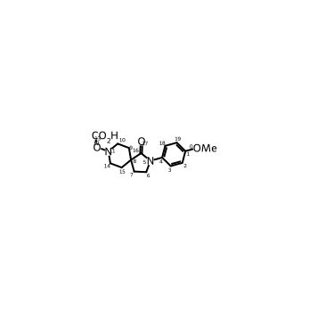 COc1ccc(N2CCC3(CCN(OC(=O)O)CC3)C2=O)cc1